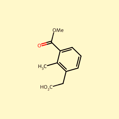 COC(=O)c1cccc(CC(=O)O)c1C